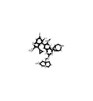 CNc1nc2c(N3C4CCC3CNC4)nc(OC[C@@]34CCCN3C[C@H](F)C4)nc2cc1-c1c(F)c(F)cc2oc(N)c(C3CC3)c12